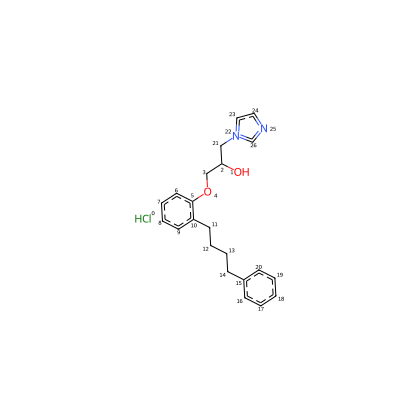 Cl.OC(COc1ccccc1CCCCc1ccccc1)Cn1ccnc1